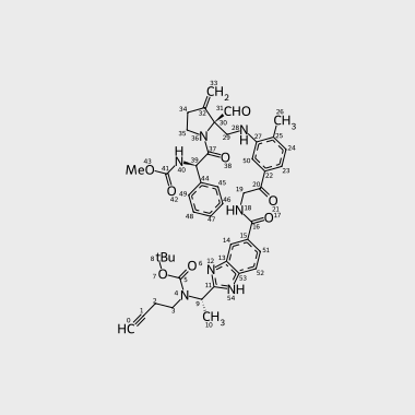 C#CCCN(C(=O)OC(C)(C)C)[C@@H](C)c1nc2cc(C(=O)NCC(=O)c3ccc(C)c(NC[C@@]4(C=O)C(=C)CCN4C(=O)[C@H](NC(=O)OC)c4ccccc4)c3)ccc2[nH]1